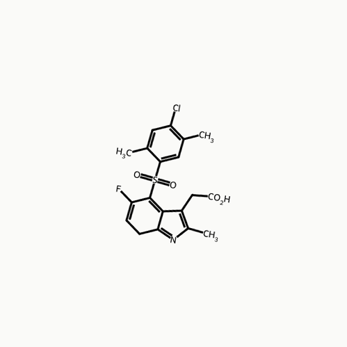 CC1=C(CC(=O)O)C2=C(S(=O)(=O)c3cc(C)c(Cl)cc3C)C(F)=CCC2=N1